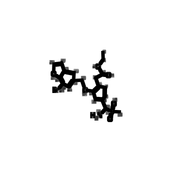 CCOC(=O)Cc1ccc(C(N)S(C)(=O)=O)cc1OCc1cc(Br)c2occc2c1